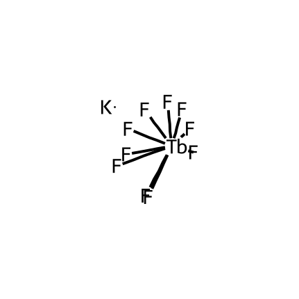 [F][Tb]([F])([F])([F])([F])([F])([F])([F])([F])[F].[K]